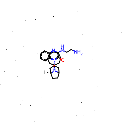 NCCNc1nc2ccccc2n([C@H]2CC3CC[C@@H](C2)N3C2CCCCCCC2)c1=O